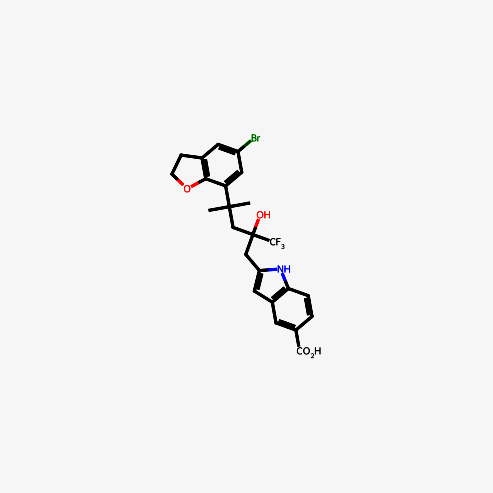 CC(C)(CC(O)(Cc1cc2cc(C(=O)O)ccc2[nH]1)C(F)(F)F)c1cc(Br)cc2c1OCC2